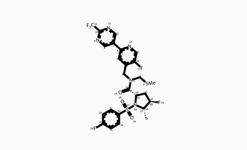 CSCN(Cc1cc(-c2cnc(C(F)(F)F)nc2)ncc1F)C(=O)[C@@H]1C[C@@H](F)[C@H](C)N1S(=O)(=O)c1ccc(F)cc1